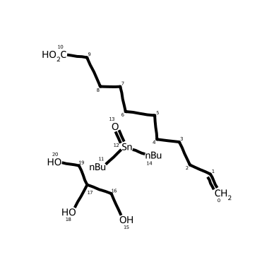 C=CCCCCCCCCC(=O)O.CCC[CH2][Sn](=[O])[CH2]CCC.OCC(O)CO